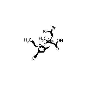 C=CCn1cc(C[C@@]2(C(=O)O)[C@H](C=C(Br)Br)C2(C)C)cc1C#N